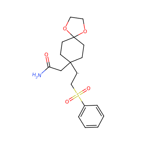 NC(=O)CC1([CH]CS(=O)(=O)c2ccccc2)CCC2(CC1)OCCO2